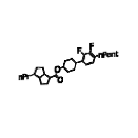 CCCCCc1ccc(C2CCC(OC(=O)C3CCC4C(CCC)CCC34)CC2)c(F)c1F